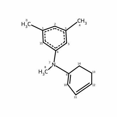 Cc1cc(C)cc(N(C)C2=CC=CCC2)c1